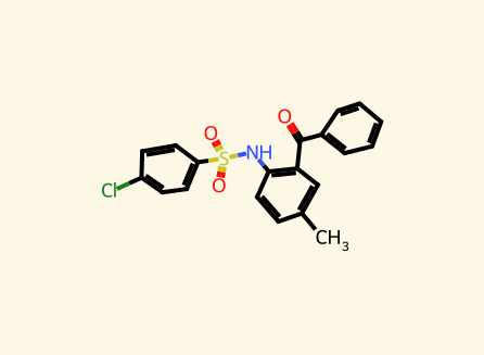 Cc1ccc(NS(=O)(=O)c2ccc(Cl)cc2)c(C(=O)c2ccccc2)c1